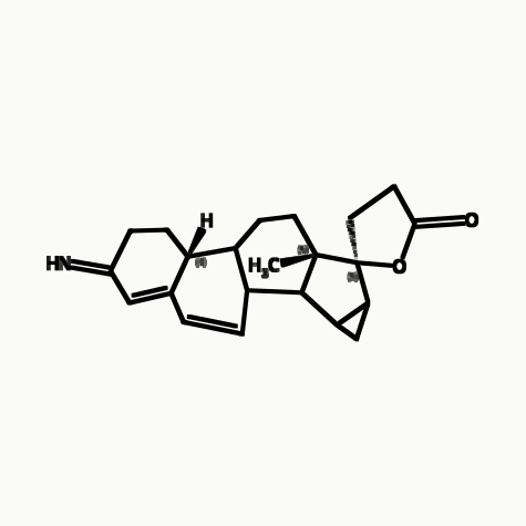 C[C@]12CCC3C(C=CC4=CC(=N)CC[C@@H]43)C1C1CC1[C@@]21CCC(=O)O1